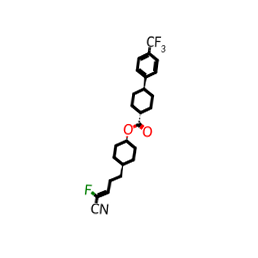 N#CC(F)=CCC[C@H]1CC[C@H](OC(=O)[C@H]2CC[C@H](c3ccc(C(F)(F)F)cc3)CC2)CC1